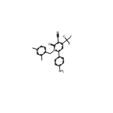 Cc1ccc(Cn2c(-c3ccc(N)cc3)cc(C(F)(F)F)c(C#N)c2=O)c(C)c1